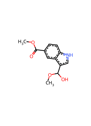 COC(=O)c1ccc2[nH]cc(C(O)OC)c2c1